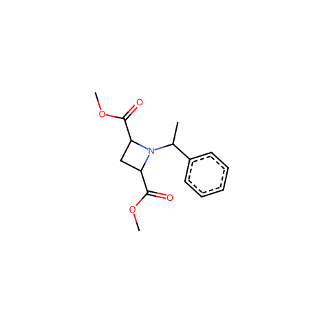 COC(=O)C1CC(C(=O)OC)N1C(C)c1ccccc1